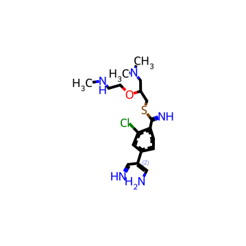 CNCCOC(CSC(=N)c1ccc(/C(C=N)=C/N)cc1Cl)CN(C)C